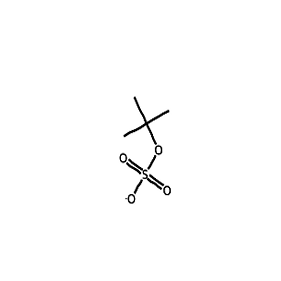 CC(C)(C)OS([O])(=O)=O